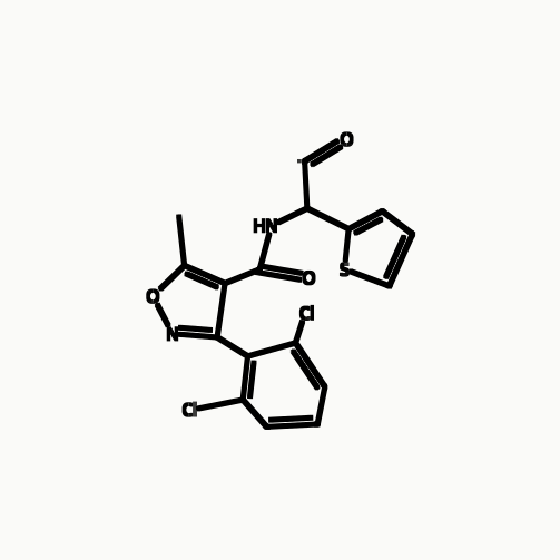 Cc1onc(-c2c(Cl)cccc2Cl)c1C(=O)NC([C]=O)c1cccs1